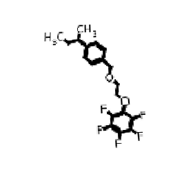 CCC(C)c1ccc(COCCOc2c(F)c(F)c(F)c(F)c2F)cc1